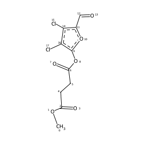 COC(=O)CCC(=O)Oc1oc(C=O)c(Cl)c1Cl